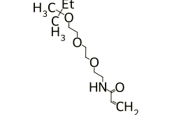 C=CC(=O)NCCOCCOCCOC(C)(C)CC